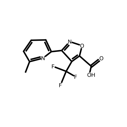 Cc1cccc(-c2noc(C(=O)O)c2C(F)(F)F)n1